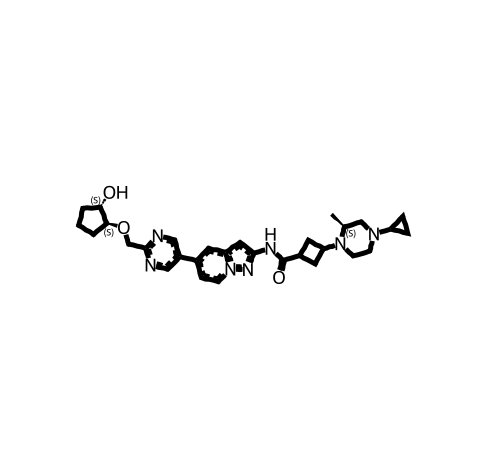 C[C@H]1CN(C2CC2)CCN1C1CC(C(=O)Nc2cc3cc(-c4cnc(CO[C@H]5CCC[C@@H]5O)nc4)ccn3n2)C1